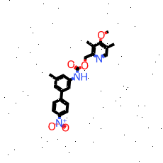 COc1c(C)cnc(COC(=O)Nc2cc(C)cc(-c3ccc([N+](=O)[O-])cc3)c2)c1C